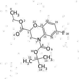 CCOC(=O)C1CN(C(=O)OC(C)(C)C)c2cc(F)ccc2O1